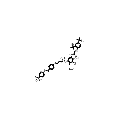 CCC(C)(C)c1ccc(OCC(=O)Nc2cc(OS(=O)(=O)CCCOc3ccc(N=Nc4ccc(S(=O)(=O)[O-])cc4)cc3)c(C)c(Cl)c2O)c(C(C)(C)CC)c1.[Na+]